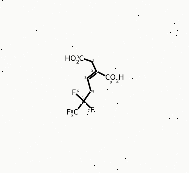 O=C(O)CC(=CCC(F)(F)C(F)(F)F)C(=O)O